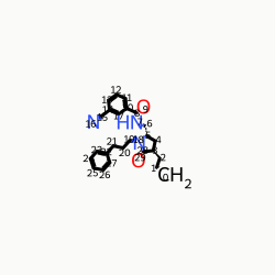 C=CC[C@@H]1C[C@@H](CNC(=O)c2cccc(C#N)c2)N(CCCc2ccccc2)C1=O